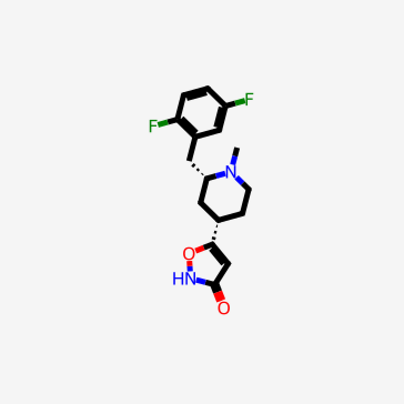 CN1CC[C@H](c2cc(=O)[nH]o2)C[C@@H]1Cc1cc(F)ccc1F